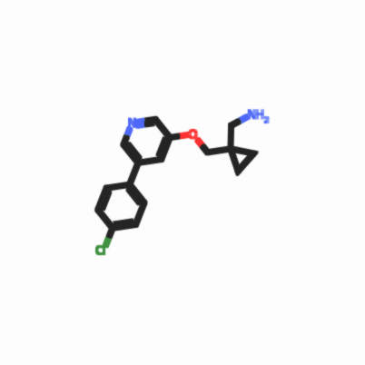 NCC1(COc2cncc(-c3ccc(Cl)cc3)c2)CC1